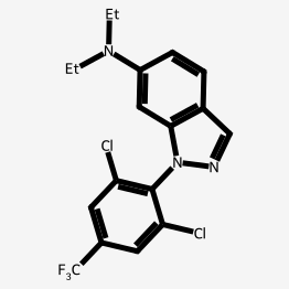 CCN(CC)c1ccc2cnn(-c3c(Cl)cc(C(F)(F)F)cc3Cl)c2c1